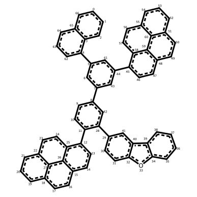 c1ccc2c(-c3cc(-c4ccc(-c5ccc6ccc7cccc8ccc5c6c78)c(-c5ccc6oc7ccccc7c6c5)c4)cc(-c4ccc5ccc6cccc7ccc4c5c67)c3)cccc2c1